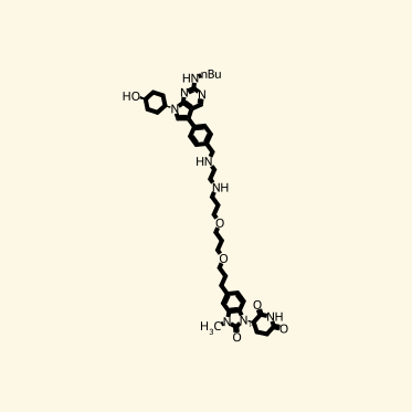 CCCCNc1ncc2c(-c3ccc(CNCCNCCCOCCCOCCCc4ccc5c(c4)n(C)c(=O)n5[C@H]4CCC(=O)NC4=O)cc3)cn([C@H]3CC[C@H](O)CC3)c2n1